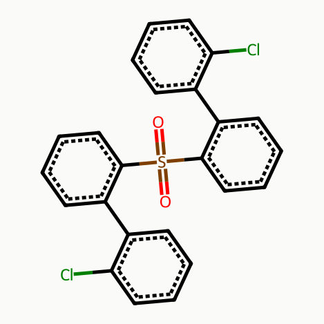 O=S(=O)(c1ccccc1-c1ccccc1Cl)c1ccccc1-c1ccccc1Cl